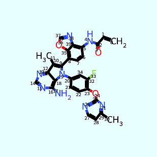 C=CC(=O)Nc1ccc(-c2c(C)c3ncnc(N)c3n2-c2ccc(Oc3nccc(C)n3)c(F)c2)c2ocnc12